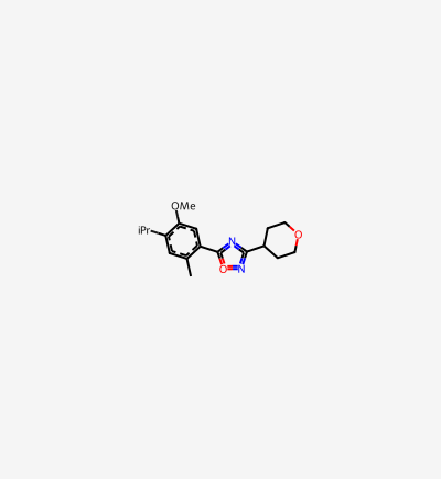 COc1cc(-c2nc(C3CCOCC3)no2)c(C)cc1C(C)C